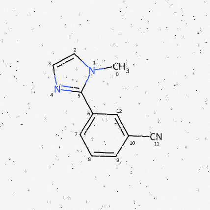 Cn1ccnc1-c1cccc(C#N)c1